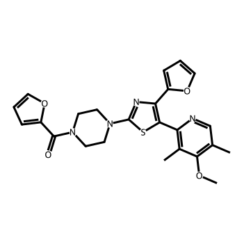 COc1c(C)cnc(-c2sc(N3CCN(C(=O)c4ccco4)CC3)nc2-c2ccco2)c1C